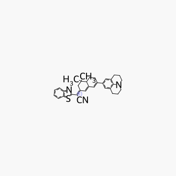 CC1(C)C/C(=C(/C#N)c2nc3ccccc3s2)C=C2C=C(c3cc4c5c(c3)CCCN5CCC4)CCC21